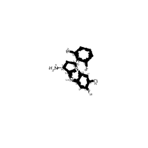 N[C@@H]1C[C@H](c2c(F)cccc2Br)n2c1nc1cc(F)c(Cl)cc12